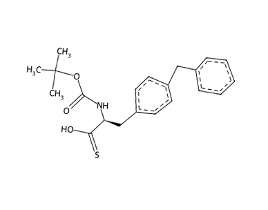 CC(C)(C)OC(=O)N[C@@H](Cc1ccc(Cc2ccccc2)cc1)C(O)=S